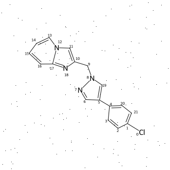 Clc1ccc(-c2cnn(Cc3cn4ccccc4n3)c2)cc1